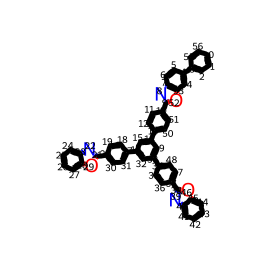 c1ccc(-c2ccc3nc(-c4ccc(-c5cc(-c6ccc(-c7nc8ccccc8o7)cc6)cc(-c6ccc(-c7nc8ccccc8o7)cc6)c5)cc4)oc3c2)cc1